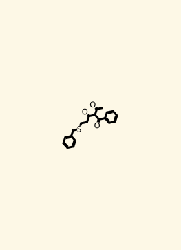 CC(=O)C(C(=O)CCSCc1ccccc1)C(=O)c1ccccc1